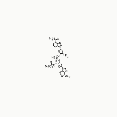 C=C1C[C@H](n2nnc3c(C(N)=O)cccc32)O[C@@H]1CO[P@@](=O)(S)O[C@H]1C[C@H](n2cnc3c(N)ncnc32)O[C@@H]1CO[PH](=O)OC